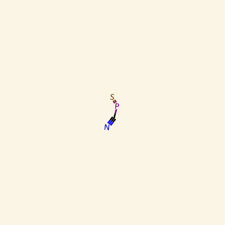 N#CP=S